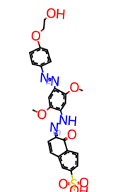 COc1cc(N/N=C2/C=Cc3cc(S(=O)(=O)O)ccc3C2=O)c(OC)cc1/N=N/c1ccc(OCCO)cc1